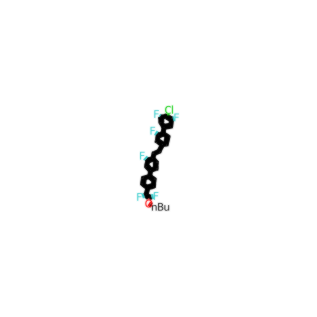 CCCCO/C(F)=C(\F)c1ccc(-c2ccc(CCc3ccc(-c4cc(F)c(Cl)c(F)c4)c(F)c3)c(F)c2)cc1